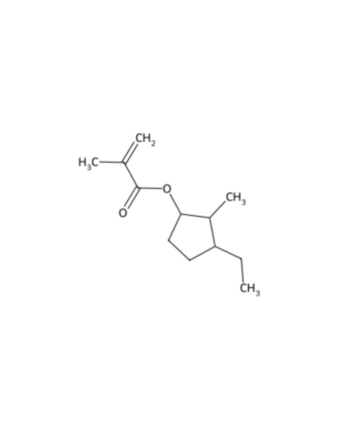 C=C(C)C(=O)OC1CCC(CC)C1C